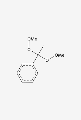 COOC(C)(OOC)c1ccccc1